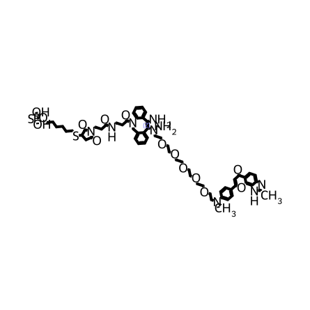 Cc1nc2ccc3c(=O)cc(-c4ccc(N(C)CCOCCOCCOCCOCCOCCN(N)/C5=C(\N)c6ccccc6N(C(=O)CCNC(=O)CCN6C(=O)CC(SCCCCCCOP(O)(O)=S)C6=O)Cc6ccccc65)cc4)oc3c2[nH]1